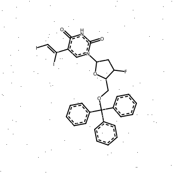 O=c1[nH]c(=O)n(C2CC(F)C(COC(c3ccccc3)(c3ccccc3)c3ccccc3)O2)cc1C(I)=CI